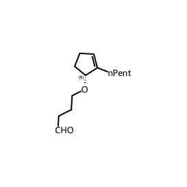 CCCCCC1=CCC[C@H]1OCCCC=O